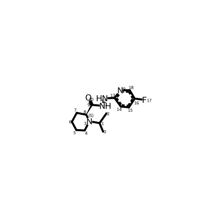 CC(C)N1CCCC[C@H]1C(=O)NNc1ccc(F)cn1